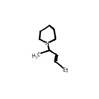 CCC=CC(C)N1CCCCC1